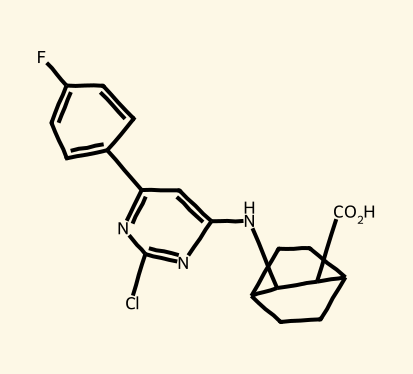 O=C(O)C1C2CCC(CC2)C1Nc1cc(-c2ccc(F)cc2)nc(Cl)n1